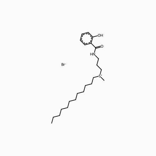 CCCCCCCCCCCC[S+](C)CCCNC(=O)c1ccccc1O.[Br-]